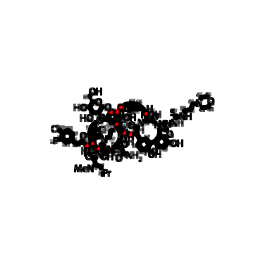 CN[C@H](CC(C)C)C(=O)N[C@H]1C(=O)N[C@@H](CC(N)=O)C(=O)N[C@H]2C(=O)N[C@H]3C(=O)N[C@H](C(=O)N[C@@H](C(=O)NNC(=S)NCCCN4CCOCC4)c4cc(O)cc(O)c4-c4cc3ccc4O)[C@H](O)c3ccc(c(Cl)c3)Oc3cc2cc(c3O[C@@H]2O[C@H](CO)[C@@H](O)[C@H](O)[C@H]2O[C@H]2C[C@](C)(NCCn3ccc(NC(=O)Cc4ccc(Cl)c(F)c4)nc3=O)[C@H](O)[C@H](C)O2)Oc2ccc(cc2Cl)[C@H]1O